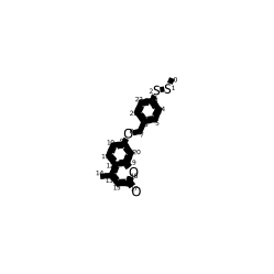 CSSc1ccc(COc2ccc3c(C)cc(=O)oc3c2)cc1